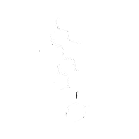 Cc1cc(C(F)(F)F)cc(O)c1-c1cc2c(nn1)N(C[C@@H]1CCCCN1C)CC2